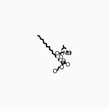 CCCCCCCCCCCCC[C@@H](C[C@@H]1OC(=O)[C@H]1OCCOC)OC(=O)[C@H](CC(C)C)NC=O